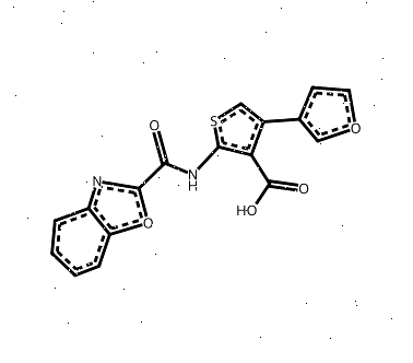 O=C(Nc1scc(-c2ccoc2)c1C(=O)O)c1nc2ccccc2o1